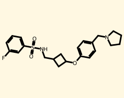 O=S(=O)(NCC1CC(Oc2ccc(CN3CCCC3)cc2)C1)c1cccc(F)c1